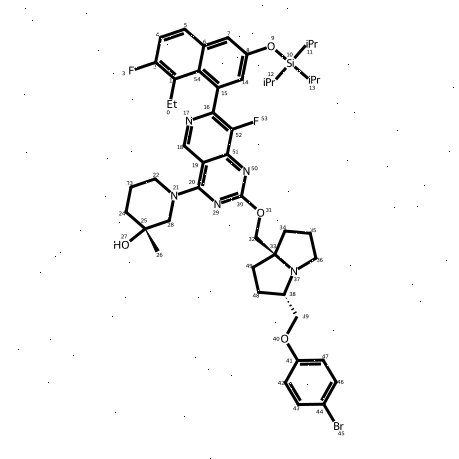 CCc1c(F)ccc2cc(O[Si](C(C)C)(C(C)C)C(C)C)cc(-c3ncc4c(N5CCC[C@@](C)(O)C5)nc(OC[C@@]56CCCN5[C@H](COc5ccc(Br)cc5)CC6)nc4c3F)c12